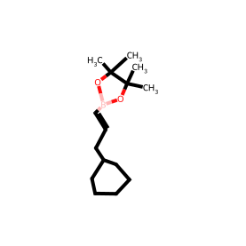 CC1(C)OB(/C=C/CC2CCCCC2)OC1(C)C